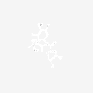 CCC(C)[C@@](C)(C(=O)O)c1c(C)n(C(=O)c2ccc(Cl)c(Cl)c2)c2cc(F)c(O)c(F)c12